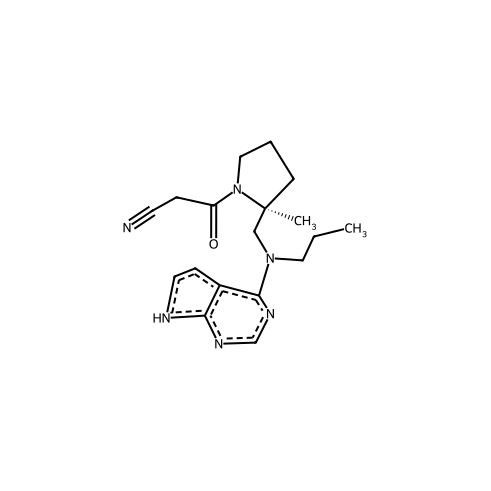 CCCN(C[C@]1(C)CCCN1C(=O)CC#N)c1ncnc2[nH]ccc12